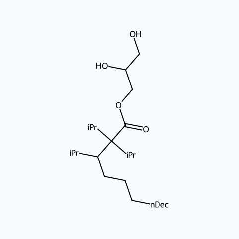 CCCCCCCCCCCCCC(C(C)C)C(C(=O)OCC(O)CO)(C(C)C)C(C)C